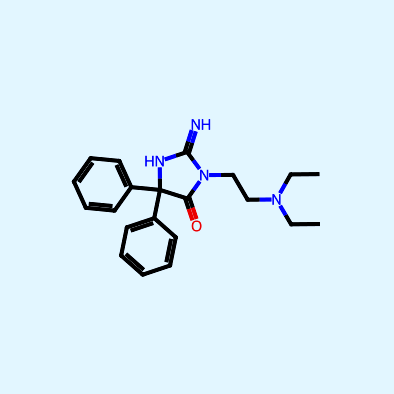 CCN(CC)CCN1C(=N)NC(c2ccccc2)(c2ccccc2)C1=O